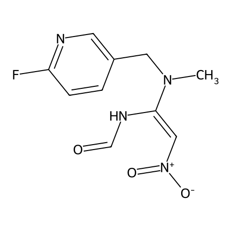 CN(Cc1ccc(F)nc1)C(=C[N+](=O)[O-])NC=O